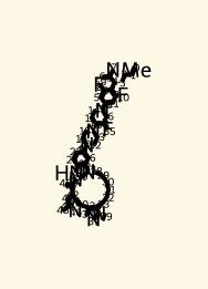 C=CCC[C@@H](C(=C)NC)c1c(F)cc(N2CC[C@H](N3CCN(c4ccc5c(c4)N4CCCCCCc6c(cnn6C)-c6cc(cc(C)n6)C(=C)/N=C/4N5)CC3)C(F)C2)cc1F